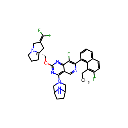 CCc1c(F)ccc2cccc(-c3ncc4c(N5CC6CCC(C5)N6)nc(OC[C@]56CCCN5CC(=C(F)F)C6)nc4c3F)c12